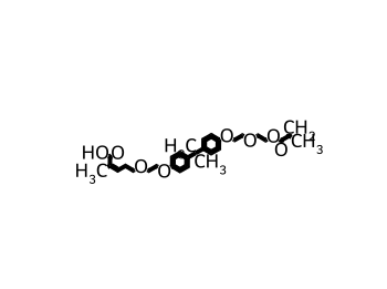 C=C(C)C(=O)OCCOCCOc1ccc(C(C)(C)c2ccc(OCCOCCC=C(C)C(=O)O)cc2)cc1